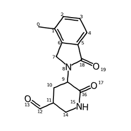 Cc1cccc2c1CN(C1CC(C=O)CNC1=O)C2=O